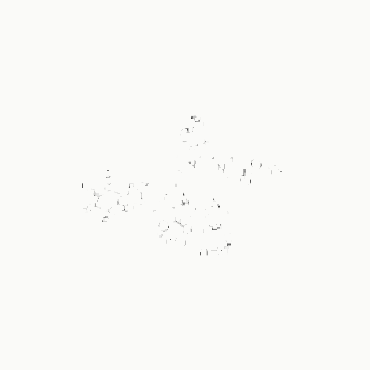 CCCCOC(=O)CN1CCN(CC(=O)OCCCC)CCN([C@H](CCC(=O)Oc2c(F)c(F)c(F)c(F)c2F)C(=O)OCCCC)CCN(CC(=O)OC(C)(C)C)CC1